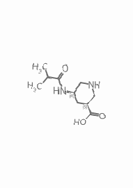 CC(C)C(=O)N[C@H]1CNC[C@@H](C(=O)O)C1